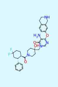 Nc1c(Oc2ccc3c(c2)CNCC3)ncn(CC2(O)CCN(C(=O)[C@@H]3CCC(F)(F)C[C@H]3c3ccccc3)CC2)c1=O